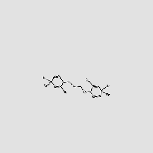 BrC1=CC(Br)(Br)C=CC1OCCOC1C=CC(Br)(Br)C=C1Br